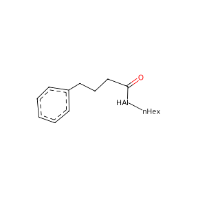 CCCCC[CH2][AlH][C](=O)CCCc1ccccc1